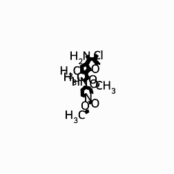 CCOC(=O)N1CCC(NC(=O)C2=C3OC=C(Cl)C(N)=C3CC2(C)C)C(OC)C1